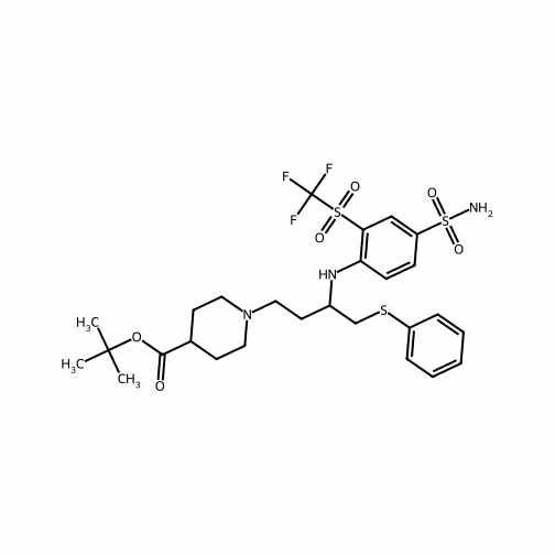 CC(C)(C)OC(=O)C1CCN(CCC(CSc2ccccc2)Nc2ccc(S(N)(=O)=O)cc2S(=O)(=O)C(F)(F)F)CC1